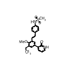 COc1c(/C=C/c2ccc(NS(C)(=O)=O)cc2)cc(-c2ccc[nH]c2=O)cc1CC(F)(F)F